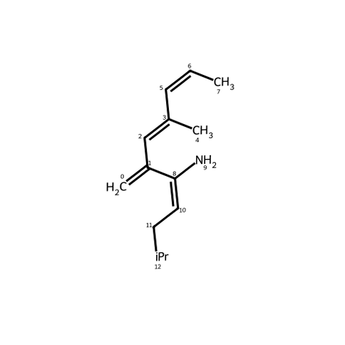 C=C(/C=C(C)/C=C\C)/C(N)=C\CC(C)C